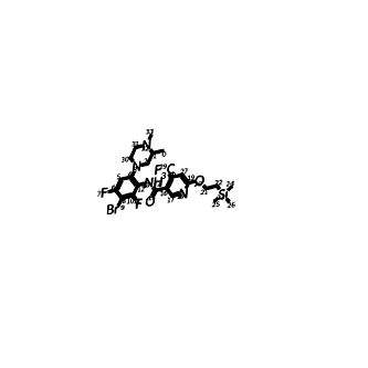 CC1CN(c2cc(F)c(Br)c(F)c2NC(=O)c2cnc(OCC[Si](C)(C)C)cc2C(F)(F)F)CCN1C